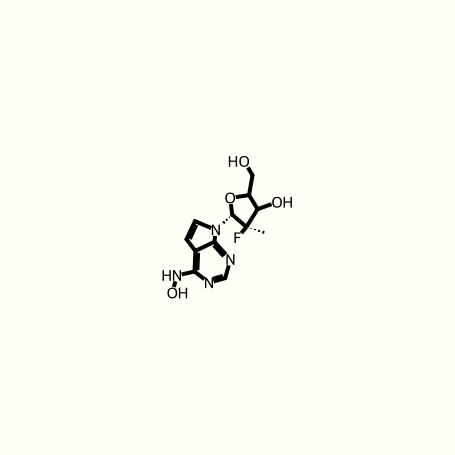 C[C@@]1(F)C(O)C(CO)O[C@H]1n1ccc2c(NO)ncnc21